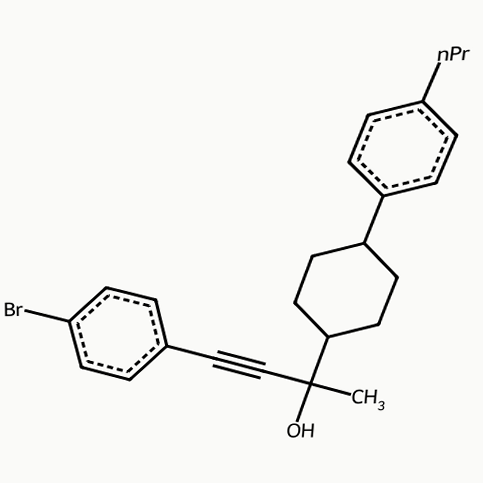 CCCc1ccc(C2CCC(C(C)(O)C#Cc3ccc(Br)cc3)CC2)cc1